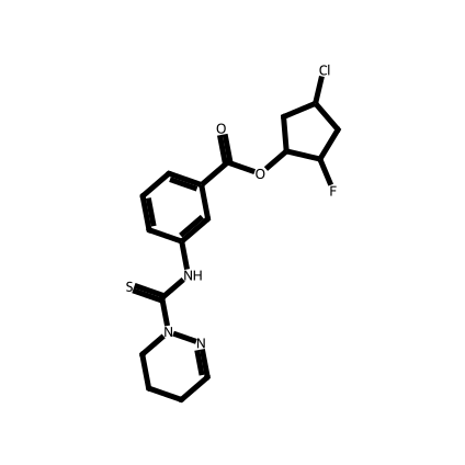 O=C(OC1CC(Cl)CC1F)c1cccc(NC(=S)N2CCCC=N2)c1